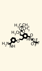 CN(Cc1ccc(C(=O)NOC(=O)C(F)(F)F)cc1CCOc1cccc(C(=N)N)c1)C(=O)OC(C)(C)C